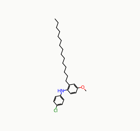 CCCCCCCCCCCCCCCc1cc(OC)ccc1Nc1ccc(Cl)cc1